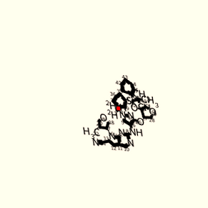 [2H]C([2H])([2H])n1cc(Nc2ncc3cc(C#N)n([C@H]4COC[C@@H]4C)c3n2)c(O[C@H]2COC[C@@H]2O[Si](c2ccccc2)(c2ccccc2)C(C)(C)C)n1